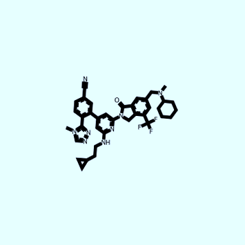 CN(Cc1cc2c(c(C(F)(F)F)c1)CN(c1cc(-c3cc(C#N)ccc3-c3nncn3C)cc(NCCC3CC3)n1)C2=O)C1CCCCC1